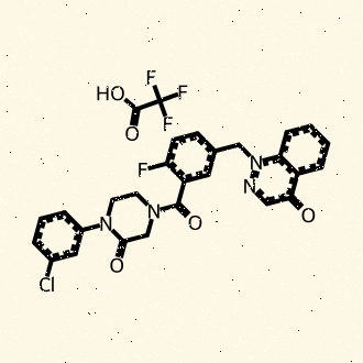 O=C(O)C(F)(F)F.O=C(c1cc(Cn2ncc(=O)c3ccccc32)ccc1F)N1CCN(c2cccc(Cl)c2)C(=O)C1